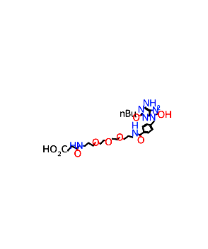 CCCCOc1nc(N)c2nc(O)n(Cc3ccc(C(=O)NCCCOCCOCCOCCCNC(=O)CCC(=O)O)cc3)c2n1